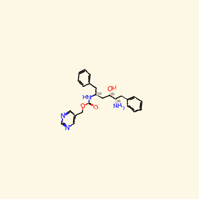 N[C@@H](Cc1ccccc1)[C@@H](O)C[C@H](Cc1ccccc1)NC(=O)OCc1cncnc1